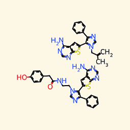 C=C(C)Cn1cnc(-c2ccccc2)c1-c1cc2c(N)ncnc2s1.Nc1ncnc2sc(-c3c(-c4ccccc4)ncn3CCNC(=O)Cc3ccc(O)cc3)cc12